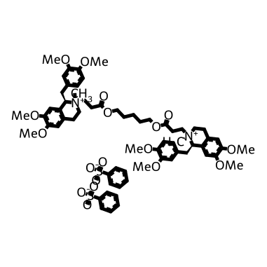 COc1ccc(C[C@@H]2c3cc(OC)c(OC)cc3CC[N+]2(C)CCC(=O)OCCCCCOC(=O)CC[N+]2(C)CCc3cc(OC)c(OC)cc3[C@H]2Cc2ccc(OC)c(OC)c2)cc1OC.O=S(=O)([O-])c1ccccc1.O=S(=O)([O-])c1ccccc1